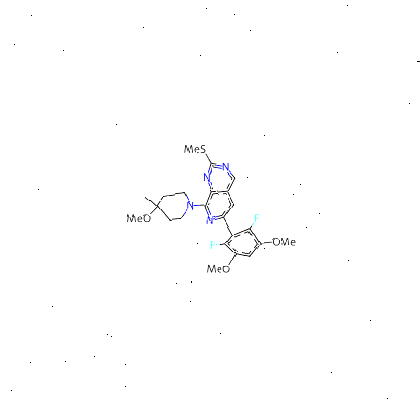 COc1cc(OC)c(F)c(-c2cc3cnc(SC)nc3c(N3CCC(C)(OC)CC3)n2)c1F